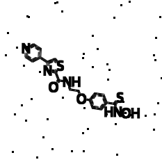 O=C(NCCOc1ccc(C(=S)NO)cc1)c1nc(-c2ccncc2)cs1